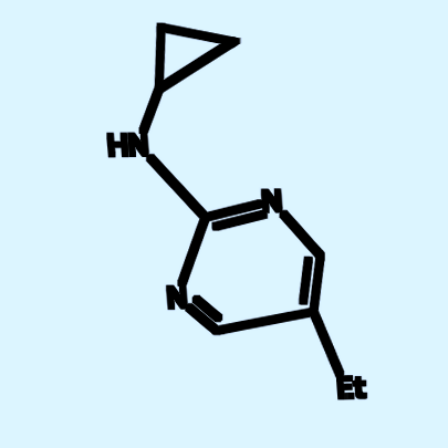 CCc1cnc(NC2CC2)nc1